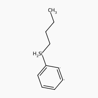 CCCC[SiH2]c1[c][c]ccc1